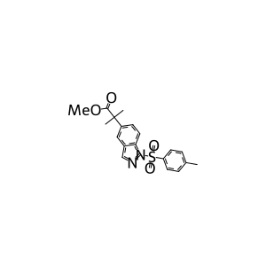 COC(=O)C(C)(C)c1ccc2c(cnn2S(=O)(=O)c2ccc(C)cc2)c1